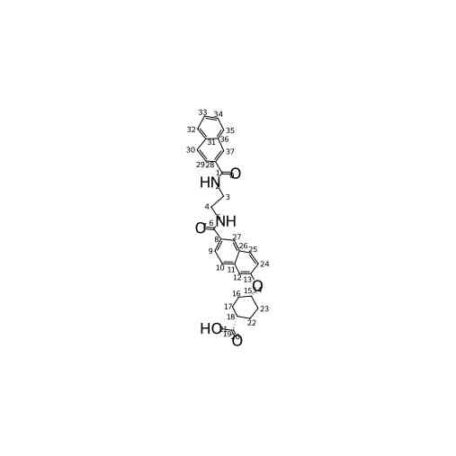 O=C(NCCNC(=O)c1ccc2cc(O[C@H]3CC[C@@H](C(=O)O)CC3)ccc2c1)c1ccc2ccccc2c1